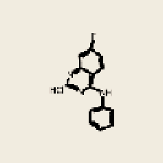 Cl.Fc1ccc2c(Nc3ccccc3)ncnc2c1